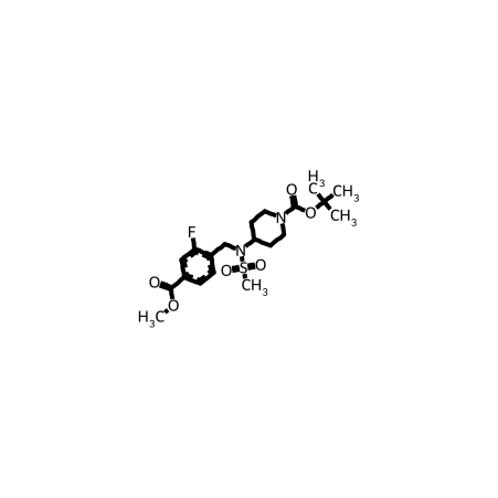 COC(=O)c1ccc(CN(C2CCN(C(=O)OC(C)(C)C)CC2)S(C)(=O)=O)c(F)c1